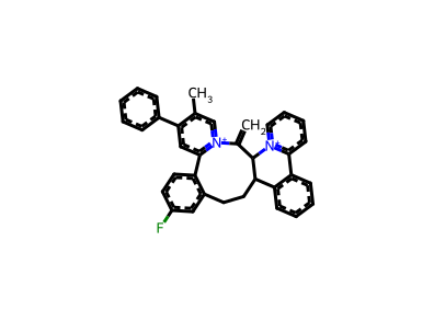 C=C1C2C(CCc3cc(F)ccc3-c3cc(-c4ccccc4)c(C)c[n+]31)c1ccccc1-c1cccc[n+]12